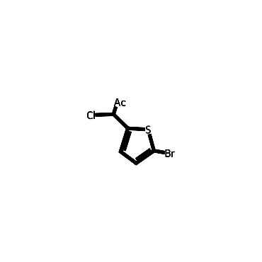 CC(=O)C(Cl)c1ccc(Br)s1